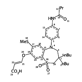 CCCCC1(CCCC)CN(c2ccc(NC(=O)C(C)C)cc2)c2cc(SC)c(O/C=C/C(=O)O)cc2S(=O)(=O)C1